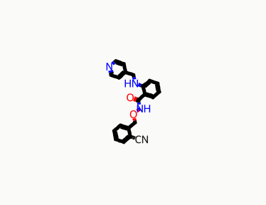 N#Cc1ccccc1CONC(=O)c1ccccc1NCc1ccncc1